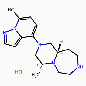 C[C@@H]1CN(c2ccc(C#N)n3nccc23)C[C@@H]2CCNCCN21.Cl